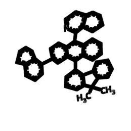 CC1(C)c2ccccc2-c2c(-c3c4ccccc4c(-c4nccc5ccccc45)c4ccc(-c5cccc6ccccc56)cc34)cccc21